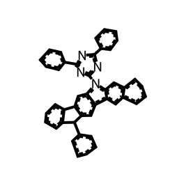 c1ccc(-c2nc(-c3ccccc3)nc(-n3c4cc5c(cc4c4cc6ccccc6cc43)C(c3ccccc3)c3ccccc3-5)n2)cc1